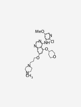 COc1cnc(Cl)c(Nc2ncnc3cc(OCCCN4CCN(C)CC4)cc(OC4CCOCC4)c23)c1